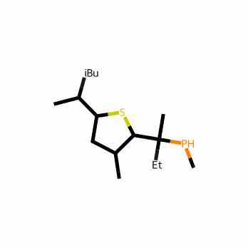 CCC(C)C(C)C1CC(C)C(C(C)(CC)PC)S1